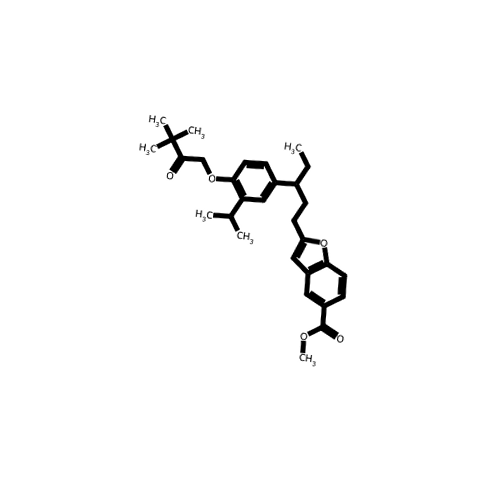 CCC(CCc1cc2cc(C(=O)OC)ccc2o1)c1ccc(OCC(=O)C(C)(C)C)c(C(C)C)c1